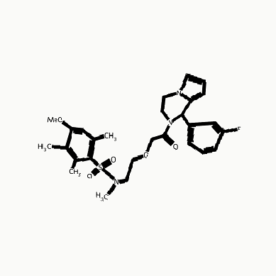 COc1cc(C)c(S(=O)(=O)N(C)CCOCC(=O)N2CCn3cccc3C2c2cccc(F)c2)c(C)c1C